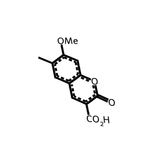 COc1cc2oc(=O)c(C(=O)O)cc2cc1C